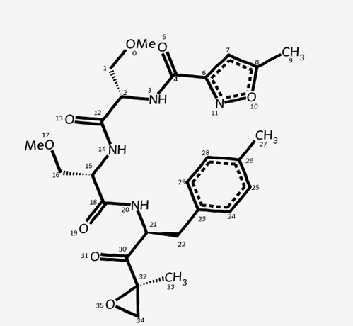 COC[C@H](NC(=O)c1cc(C)on1)C(=O)N[C@@H](COC)C(=O)N[C@@H](Cc1ccc(C)cc1)C(=O)[C@@]1(C)CO1